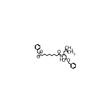 CN(C)C[C@@H](CC(=O)OCc1ccccc1)NC(=O)CCCCCCCS(=O)(=O)Cc1ccccc1